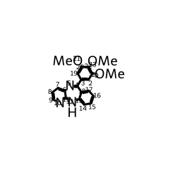 COc1cc(C2=Nc3cccnc3Nc3ccccc32)cc(OC)c1OC